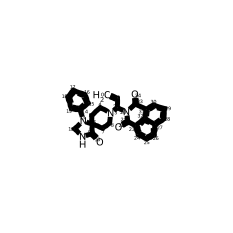 C=CC(N1CCC2(CC1)C(=O)NCN2c1ccccc1)N1C(=O)c2cccc3cccc(c23)C1=O